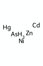 [AsH3].[Cd].[Hg].[Ni].[Zn]